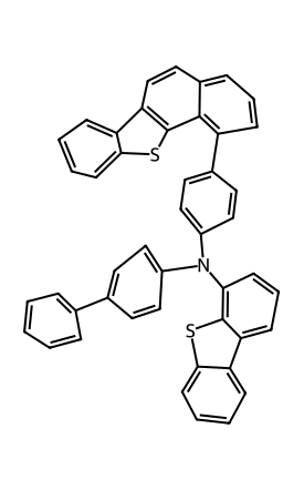 c1ccc(-c2ccc(N(c3ccc(-c4cccc5ccc6c7ccccc7sc6c45)cc3)c3cccc4c3sc3ccccc34)cc2)cc1